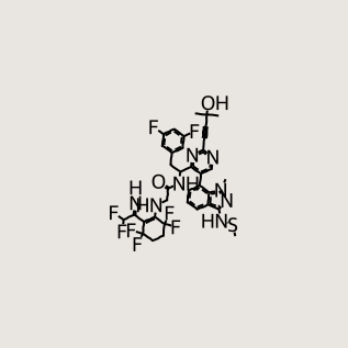 CSNc1nn(C)c2c(-c3cnc(C#CC(C)(C)O)nc3C(Cc3cc(F)cc(F)c3)NC(=O)CNC3=C(C(=N)C(F)F)C(F)(F)CCC3(F)F)cccc12